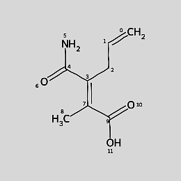 C=CC/C(C(N)=O)=C(/C)C(=O)O